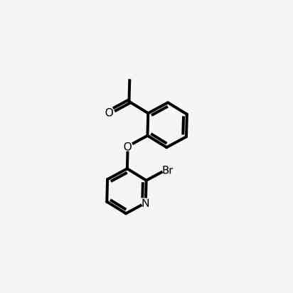 CC(=O)c1ccccc1Oc1cccnc1Br